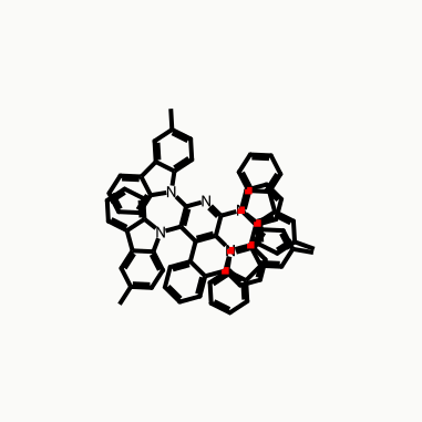 Cc1ccc2c(c1)c1ccccc1n2-c1nc(-n2c3ccccc3c3cc(C)ccc32)c(-n2c3ccccc3c3cc(C)ccc32)c(-c2ccccc2-c2cccc(-c3ccccc3)n2)c1-n1c2ccccc2c2cc(C)ccc21